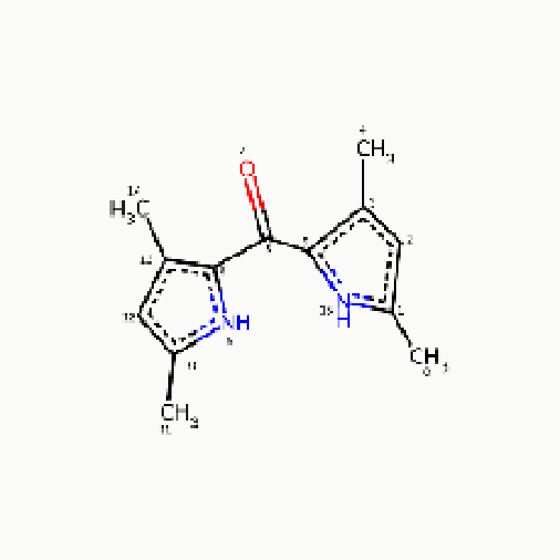 Cc1cc(C)c(C(=O)c2[nH]c(C)cc2C)[nH]1